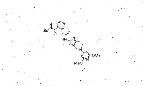 COc1cc(N2CCc3nc(NC(=O)Cc4ccccc4C(=O)NC(C)(C)C)sc3C2)nc(OC)n1